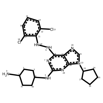 NC1CCC(Nc2nc(NNc3c(Cl)cccc3Cl)c3ncn(C4CCCC4)c3n2)CC1